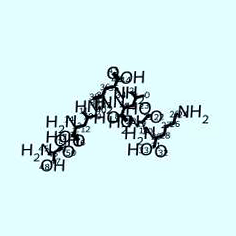 CC(C)C[C@H](N)C(=O)O.CC(C)C[C@H](N)C(=O)O.C[C@@H](N)C(=O)O.NCCCC[C@H](N)C(=O)O.N[C@@H](Cc1c[nH]cn1)C(=O)O.N[C@H](CO)C(=O)O